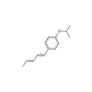 [CH2]/C=C/C=C/c1ccc(OC(C)C)cc1